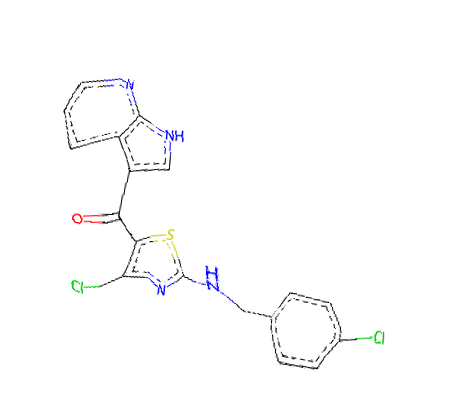 O=C(c1sc(NCc2ccc(Cl)cc2)nc1Cl)c1c[nH]c2ncccc12